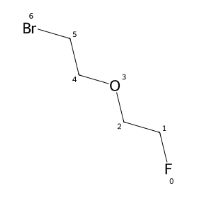 FCCOCCBr